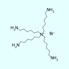 NCCCCCC[N+](CCCCCCN)(CCCCCCN)CCCCCCN.[Br-]